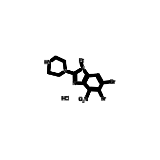 CCn1c(N2CCNCC2)nc2c([N+](=O)[O-])c(Br)c(Br)cc21.Cl